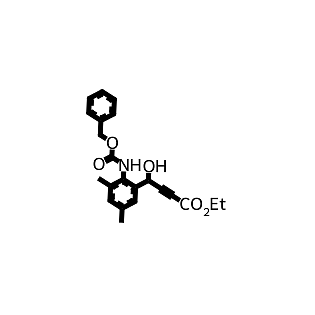 CCOC(=O)C#CC(O)c1cc(C)cc(C)c1NC(=O)OCc1ccccc1